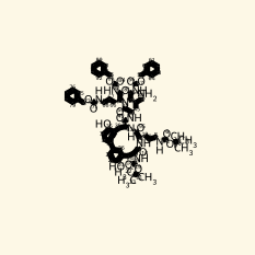 CC(C)(C)OC(=O)NCCC[C@@H]1NC(=O)[C@@H](NC(=O)OC(C)(C)C)Cc2cc(ccc2O)-c2ccc(O)c(c2)C[C@@H](C(=O)N[C@@H](CCCN)C(=O)N(CCNC(=O)OCc2ccccc2)[C@@H](CCCNC(=O)OCc2ccccc2)C(=O)NC(=O)OCc2ccccc2)NC1=O